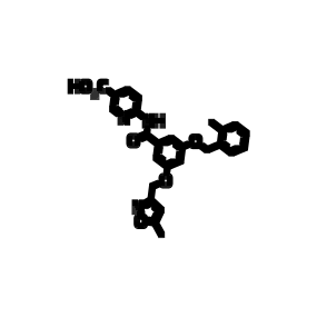 Cc1cc(COc2cc(OCc3ccccc3C)cc(C(=O)Nc3ccc(C(=O)O)cn3)c2)no1